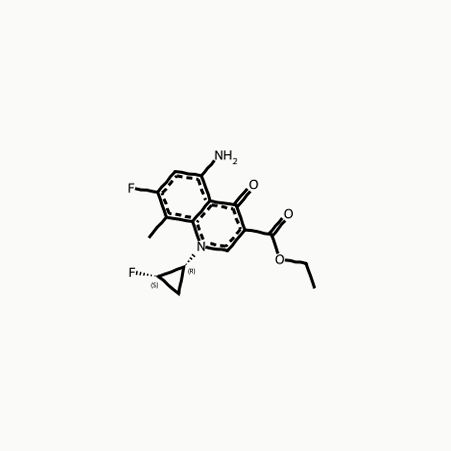 CCOC(=O)c1cn([C@@H]2C[C@@H]2F)c2c(C)c(F)cc(N)c2c1=O